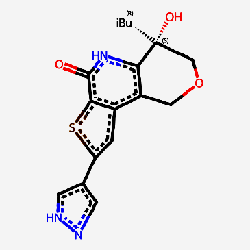 CC[C@@H](C)[C@@]1(O)COCc2c1[nH]c(=O)c1sc(-c3cn[nH]c3)cc21